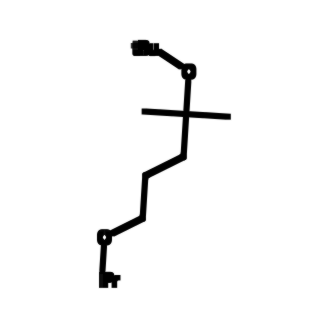 CC(C)OCCCC(C)(C)OC(C)(C)C